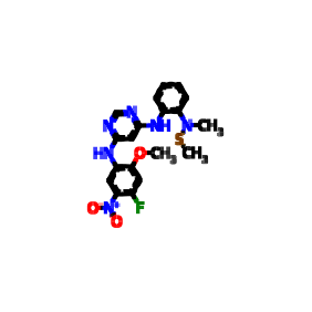 COc1cc(F)c([N+](=O)[O-])cc1Nc1cc(Nc2ccccc2N(C)SC)ncn1